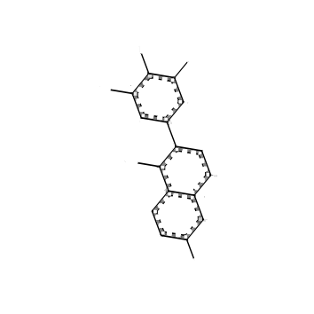 CCc1ccc2c(F)c(-c3cc(F)c(Cl)c(F)c3)ccc2c1